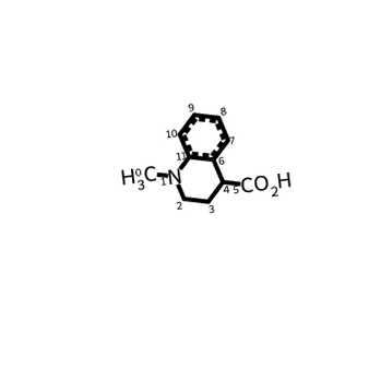 CN1CCC(C(=O)O)c2ccccc21